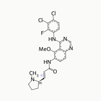 COc1c(NC(=O)/C=C/[C@H]2CCCN2C)ccc2ncnc(Nc3ccc(Cl)c(Cl)c3F)c12